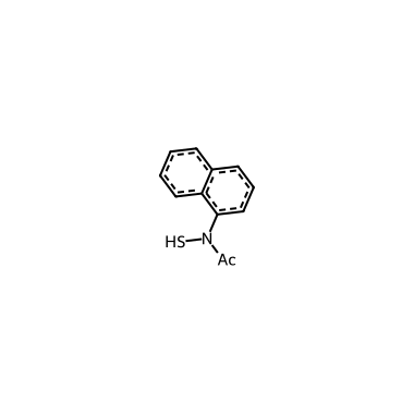 CC(=O)N(S)c1cccc2ccccc12